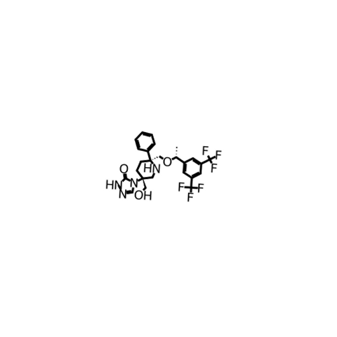 C[C@@H](OC[C@@]1(c2ccccc2)CC[C@@](CO)(n2cn[nH]c2=O)CN1)c1cc(C(F)(F)F)cc(C(F)(F)F)c1